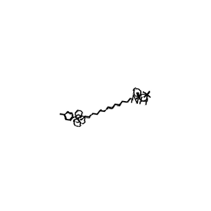 Cc1ccc(S(=O)(=O)OCCCCCCCCCCCCCNC(=O)OC(C)(C)C)cc1